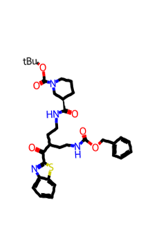 CC(C)(C)OC(=O)N1CCC[C@@H](C(=O)NCCC(CCNC(=O)OCc2ccccc2)C(=O)c2nc3ccccc3s2)C1